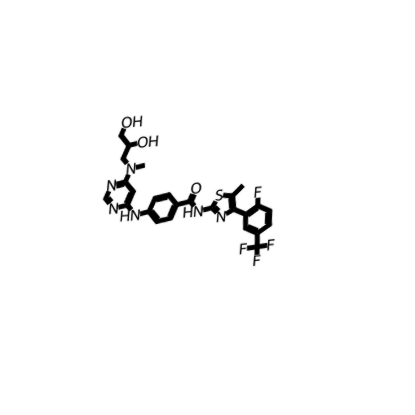 Cc1sc(NC(=O)c2ccc(Nc3cc(N(C)CC(O)CO)ncn3)cc2)nc1-c1cc(C(F)(F)F)ccc1F